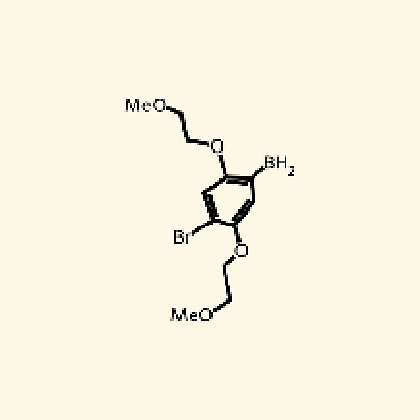 Bc1cc(OCCOC)c(Br)cc1OCCOC